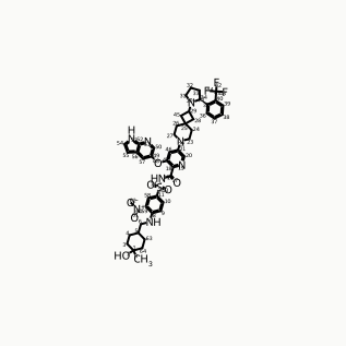 CC1(O)CCC(CNc2ccc(S(=O)(=O)NC(=O)c3ncc(N4CCC5(CC4)CC(N4CCC[C@H]4c4ccccc4C(F)(F)F)C5)cc3Oc3cnc4[nH]ccc4c3)cc2[N+](=O)[O-])CC1